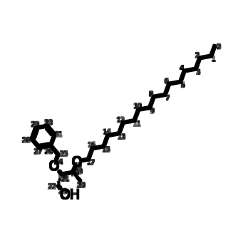 CCCCCCCCCCCCCCCCCCO[C@@H](C)[C@H](CO)OCc1ccccc1